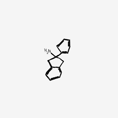 NC1(c2ccccc2)Cc2ccccc2C1